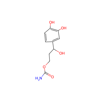 NC(=O)OCCC(O)c1ccc(O)c(O)c1